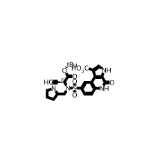 C#C[C@@H](C(=O)OC(C)(C)C)N(CC1CCCN1)S(=O)(=O)c1ccc2[nH]c(=O)c3[nH]cc(C(=O)O)c3c2c1